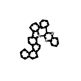 c1ccc(-c2nc3ccccc3nc2-n2c3ccccc3c3ccc4c(ccc5ccc6ccccc6c54)c32)cc1